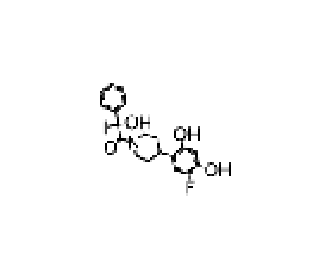 O=C(N1CCC(c2cc(F)c(O)cc2O)CC1)C(O)(I)c1ccccc1